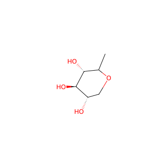 CC1OC[C@H](O)[C@@H](O)[C@@H]1O